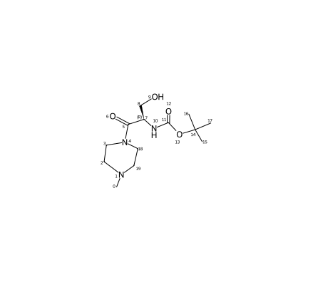 CN1CCN(C(=O)[C@@H](CO)NC(=O)OC(C)(C)C)CC1